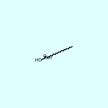 CCCCCCCCCCCCCCCCCCCNC(=O)CCCO